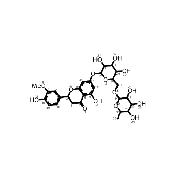 COc1cc(C2CC(=O)c3c(O)cc(OC4OC(COC5OC(C)C(O)C(O)C5O)C(O)C(O)C4O)cc3O2)ccc1O